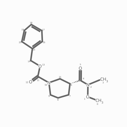 CON(C)C(=O)[C@@H]1CCCN(C(=O)OCc2ccccc2)C1